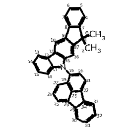 CC1(C)c2ccccc2-c2cc3c4ccccc4n(-c4ccc5c6c(cccc46)-c4ccccc4-5)c3cc21